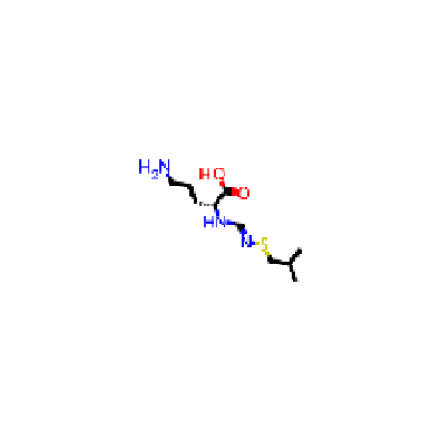 CC(C)CSN=CN[C@H](CCCN)C(=O)O